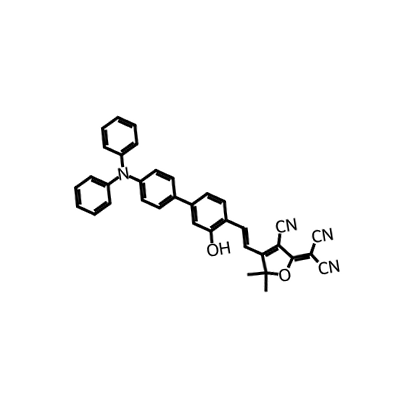 CC1(C)OC(=C(C#N)C#N)C(C#N)=C1C=Cc1ccc(-c2ccc(N(c3ccccc3)c3ccccc3)cc2)cc1O